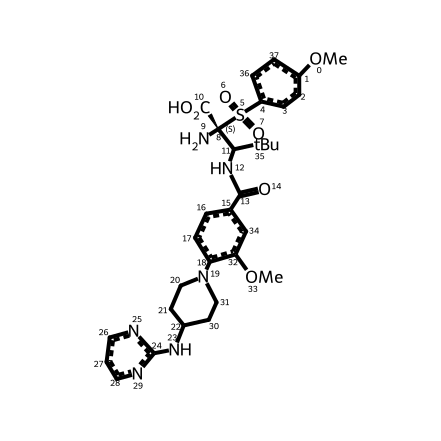 COc1ccc(S(=O)(=O)[C@](N)(C(=O)O)C(NC(=O)c2ccc(N3CCC(Nc4ncccn4)CC3)c(OC)c2)C(C)(C)C)cc1